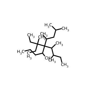 CC[CH]C(C)C(C(C)CC(C)C)(C(C)C(C)CC)C(C)(CC)CC